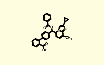 Cc1ccc(C(OC(=O)c2ccccc2)c2ccc(-c3ccccc3C(=O)O)cc2)n2cc(C3CC3)nc12